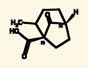 CC1CC[C@H]2CC[C@@]1(C(=O)O)C2=O